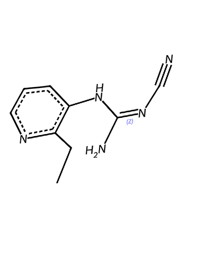 CCc1ncccc1N/C(N)=N\C#N